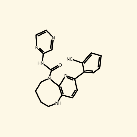 N#Cc1ccccc1-c1ccc2c(n1)N(C(=O)Nc1cnccn1)CCCCN2